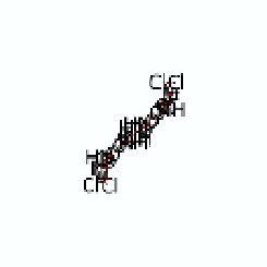 Cc1cc(O[C@@H]2CCc3c(Cl)cc(Cl)cc32)c(F)cc1S(=O)(=O)NCCOCCOCCNC(=O)NCCCCNC(=O)NCCOCCOCCNS(=O)(=O)c1cc(F)c(O[C@@H]2CCc3c(Cl)cc(Cl)cc32)cc1C